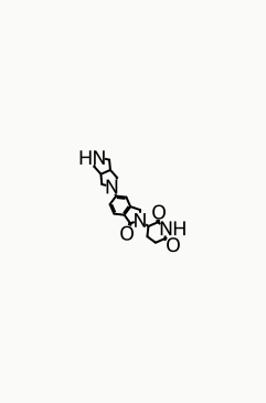 O=C1CCC(N2Cc3cc(N4CC5CNCC5C4)ccc3C2=O)C(=O)N1